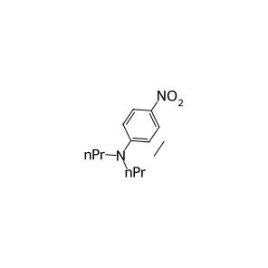 CC.CCCN(CCC)c1ccc([N+](=O)[O-])cc1